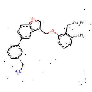 CCOC(=O)Cc1c(C)cccc1OCc1coc2ccc(-c3cccc(CN)c3)cc12